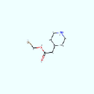 O=C(CC1CCNCC1)OCBr